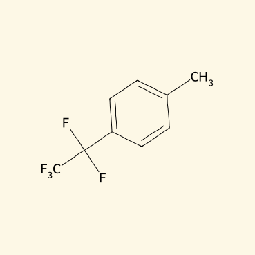 Cc1ccc(C(F)(F)C(F)(F)F)cc1